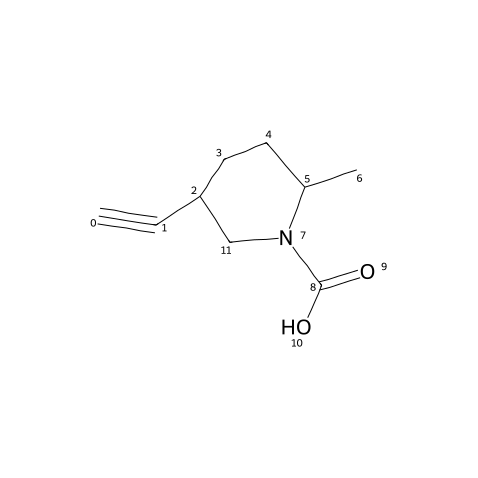 C#CC1CCC(C)N(C(=O)O)C1